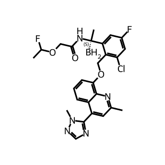 B[C@@](C)(NC(=O)COC(C)F)c1cc(F)cc(Cl)c1COc1cccc2c(-c3ncnn3C)cc(C)nc12